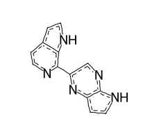 c1cc2cc[nH]c2c(-c2cnc3[nH]ccc3n2)n1